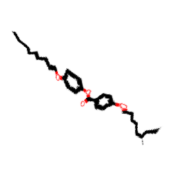 CCCCCCC/C=C/Oc1ccc(OC(=O)c2ccc(OCCCCC[C@@H](C)CC)cc2)cc1